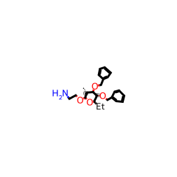 CCC1OC(OCCN)[C@H](C)C(OCc2ccccc2)[C@@H]1OCc1ccccc1